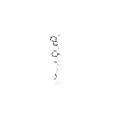 CN(C)C(=O)/C=C/CC[C@H](NC(=O)O)C(=O)Nc1cccn(Cc2cc3cc(F)cc(CC(C)(C)C)c3[nH]2)c1=O